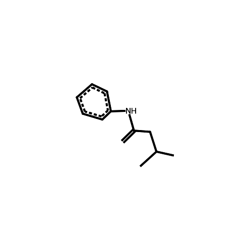 C=C(CC(C)C)Nc1ccccc1